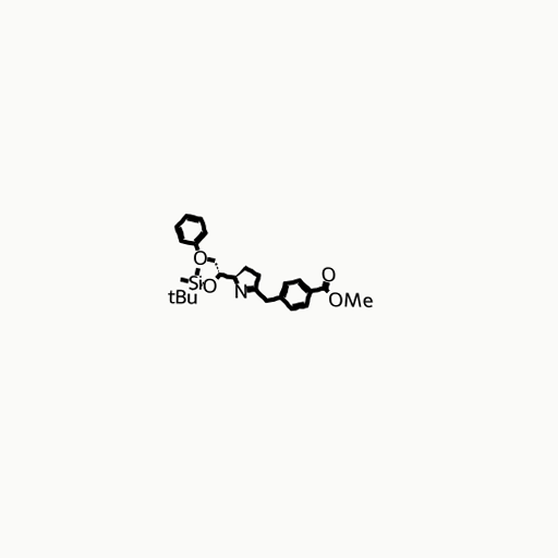 COC(=O)c1ccc(CC2=N[C@@H]([C@@H](COc3ccccc3)O[Si](C)(C)C(C)(C)C)CC2)cc1